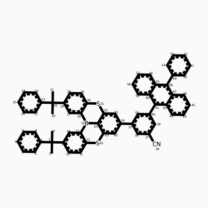 CC(C)(c1ccccc1)c1ccc2c(c1)B1c3cc(C(C)(C)c4ccccc4)ccc3Sc3cc(-c4cc(C#N)cc(-c5c6ccccc6c(-c6ccccc6)c6ccccc56)c4)cc(c31)S2